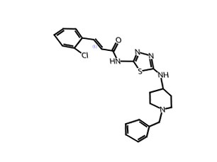 O=C(/C=C/c1ccccc1Cl)Nc1nnc(NC2CCN(Cc3ccccc3)CC2)s1